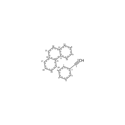 C#Cc1ccccc1.c1ccc2c(c1)ccc1ccccc12